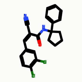 N#CC(=Cc1ccc(Cl)c(Cl)c1)C(=O)NC1(c2ccccc2)CCCC1